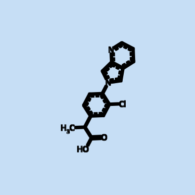 CC(C(=O)O)c1ccc(-n2cc3cccnc3c2)c(Cl)c1